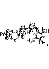 CCCS(=O)(=O)N1CCCN(S(=O)(=O)NC(=O)c2coc(Nc3cc(C)c(C)cc3C)n2)CC1